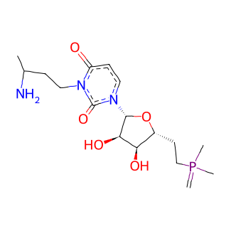 C=P(C)(C)CC[C@H]1O[C@@H](n2ccc(=O)n(CCC(C)N)c2=O)[C@H](O)[C@@H]1O